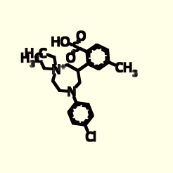 CC[N+]1(CC)CCN(c2ccc(Cl)cc2)CC(c2cc(C)ccc2S(=O)(=O)O)C1